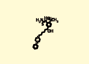 C[S+]([O-])c1ccc(C(O)CCCCCN2CCN(c3ccccc3)CC2)cc1NC(N)=S